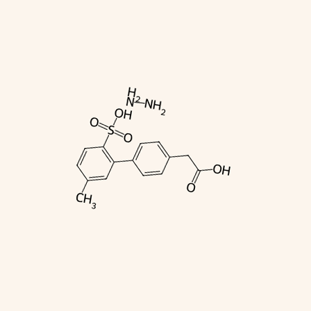 Cc1ccc(S(=O)(=O)O)c(-c2ccc(CC(=O)O)cc2)c1.NN